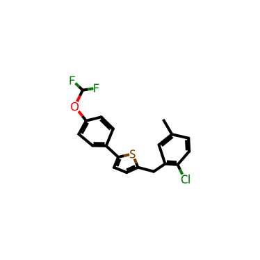 Cc1ccc(Cl)c(Cc2ccc(-c3ccc(OC(F)F)cc3)s2)c1